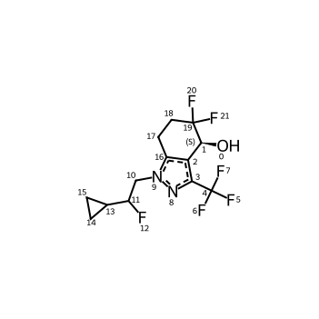 O[C@H]1c2c(C(F)(F)F)nn(CC(F)C3CC3)c2CCC1(F)F